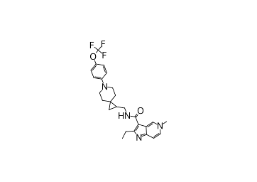 CCc1nc2ccn(C)cc-2c1C(=O)NCC1CC12CCN(c1ccc(OC(F)(F)F)cc1)CC2